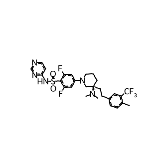 Cc1ccc(CC[C@]2(N(C)C)CCCN(c3cc(F)c(S(=O)(=O)Nc4ccncn4)c(F)c3)C2)cc1C(F)(F)F